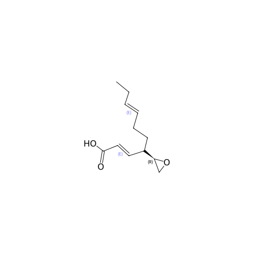 CC/C=C/CCC(/C=C/C(=O)O)[C@@H]1CO1